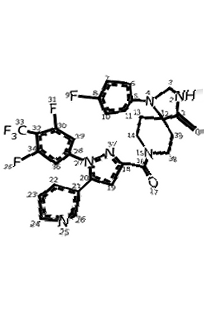 C=C1NCN(c2ccc(F)cc2)C12CCN(C(=O)c1cc(-c3cccnc3)n(-c3cc(F)c(C(F)(F)F)c(F)c3)n1)CC2